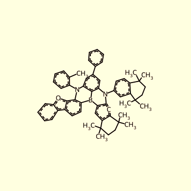 Cc1ccccc1N1c2cc(-c3ccccc3)cc3c2B(c2cc4c(cc2N3c2ccc3c(c2)C(C)(C)CCC3(C)C)C(C)(C)CCC4(C)C)c2ccc3c(oc4ccccc43)c21